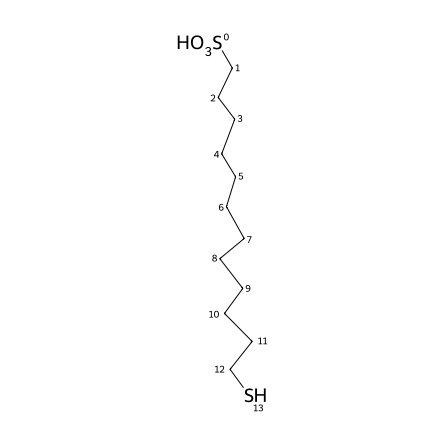 O=S(=O)(O)CCCCCCCCCCCCS